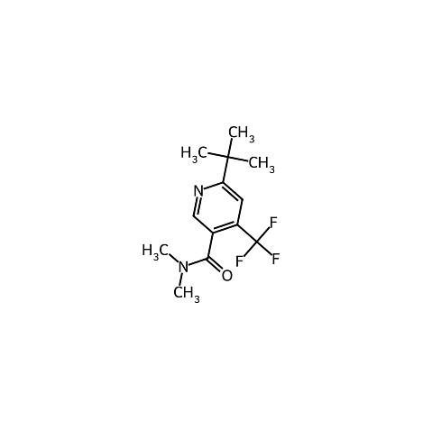 CN(C)C(=O)c1cnc(C(C)(C)C)cc1C(F)(F)F